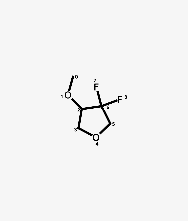 COC1COCC1(F)F